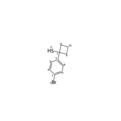 SC1(c2ccc(Br)cc2)CCC1